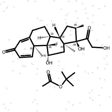 CC(=O)OC(C)(C)C.C[C@@H]1C[C@H]2[C@@H]3CCC4=CC(=O)C=C[C@]4(C)[C@@]3(F)[C@@H](O)C[C@]2(C)[C@@]1(O)C(=O)CO